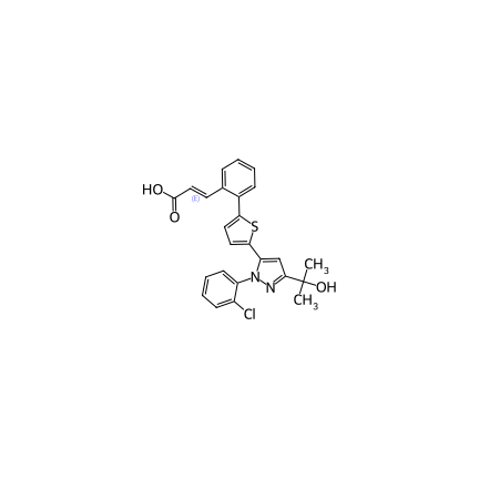 CC(C)(O)c1cc(-c2ccc(-c3ccccc3/C=C/C(=O)O)s2)n(-c2ccccc2Cl)n1